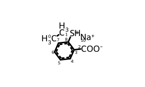 CC.O=C([O-])c1ccccc1S.[Na+]